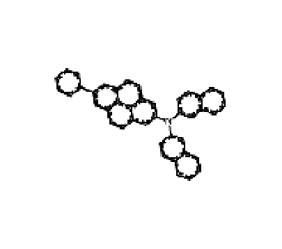 c1ccc(-c2cc3ccc4cc(N(c5ccc6ccccc6c5)c5ccc6ccccc6c5)cc5ccc(c2)c3c45)cc1